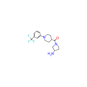 NC1CCN(C(=O)C2CCN(c3cccc(C(F)(F)F)c3)CC2)C1